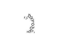 CC(O)(c1ccc(-c2ccc(CN3CCC4(CC3)Cc3c(cncc3C(F)(F)F)O4)cc2)c(F)c1)C(F)(F)F